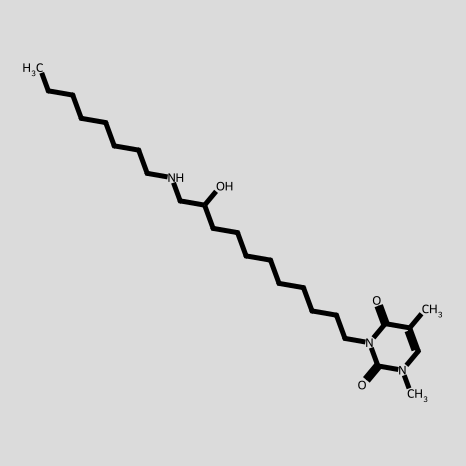 CCCCCCCCNCC(O)CCCCCCCCCn1c(=O)c(C)cn(C)c1=O